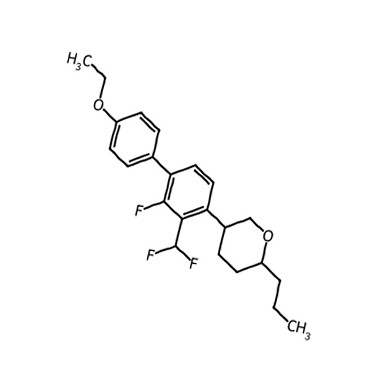 CCCC1CCC(c2ccc(-c3ccc(OCC)cc3)c(F)c2C(F)F)CO1